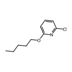 CCCCCOc1cccc(Cl)n1